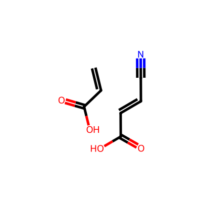 C=CC(=O)O.N#CC=CC(=O)O